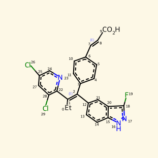 CC/C(=C(/c1ccc(/C=C/C(=O)O)cc1)c1ccc2[nH]nc(F)c2c1)c1ncc(Cl)cc1Cl